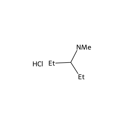 CCC(CC)NC.Cl